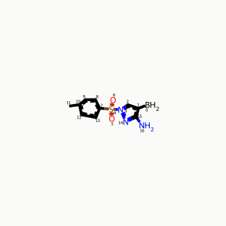 Bc1cn(S(=O)(=O)c2ccc(C)cc2)nc1N